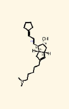 CN(C)CCCCCC1=C[C@H]2C[C@@H](O)[C@H](/C=C/C=C3CCCC3)[C@H]2C1